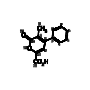 Cc1c(-c2ccccc2)cc(C(=O)O)oc1=O